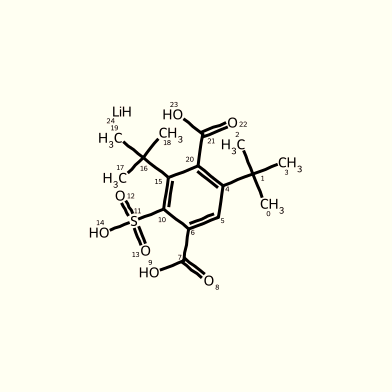 CC(C)(C)c1cc(C(=O)O)c(S(=O)(=O)O)c(C(C)(C)C)c1C(=O)O.[LiH]